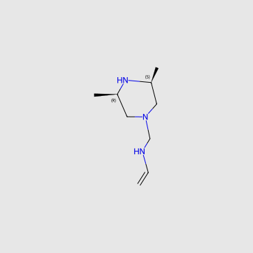 C=CNCN1C[C@@H](C)N[C@@H](C)C1